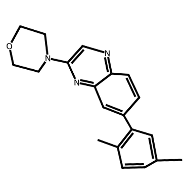 Cc1ccc(C)c(-c2ccc3ncc(N4CCOCC4)nc3c2)c1